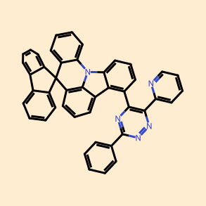 c1ccc(-c2nnc(-c3ccccn3)c(-c3cccc4c3c3cccc5c3n4-c3ccccc3C53c4ccccc4-c4ccccc43)n2)cc1